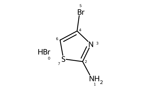 Br.Nc1nc(Br)cs1